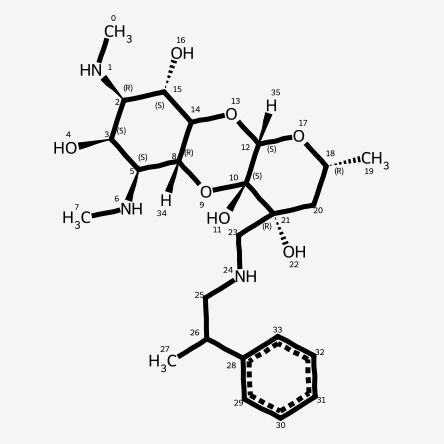 CN[C@@H]1[C@H](O)[C@H](NC)[C@H]2O[C@]3(O)[C@H](OC2[C@H]1O)O[C@H](C)C[C@@]3(O)CNCC(C)c1ccccc1